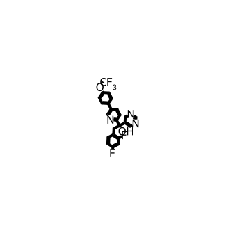 OC(Cc1ccc(F)cc1F)(c1cncnc1)c1ccc(-c2ccc(OC(F)(F)F)cc2)cn1